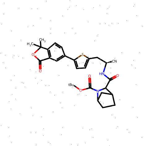 CC(C)(C)OC(=O)N1C2CCC(C2)C1C(=O)N[C@H](C#N)Cc1ccc(-c2ccc3c(c2)C(=O)OC3(C)C)s1